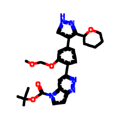 COCOc1cc(-c2c[nH]nc2C2CCCCO2)ccc1-c1cc2c(ccn2C(=O)OC(C)(C)C)nn1